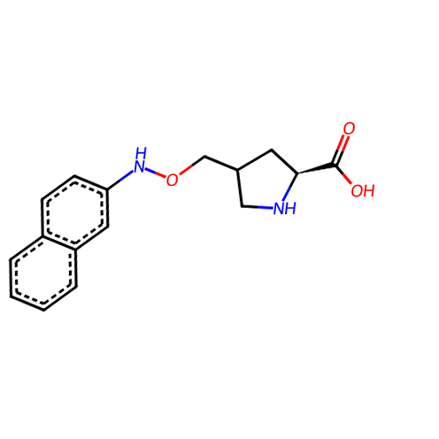 O=C(O)[C@@H]1CC(CONc2ccc3ccccc3c2)CN1